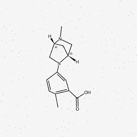 Cc1ccc(N2C[C@H]3C[C@@H]2CN3C)cc1C(=O)O